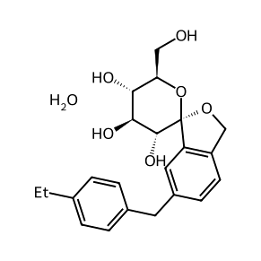 CCc1ccc(Cc2ccc3c(c2)[C@]2(OC3)O[C@H](CO)[C@@H](O)[C@H](O)[C@H]2O)cc1.O